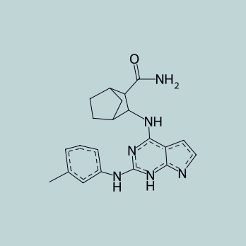 Cc1cccc(Nc2nc(NC3C4CCC(C4)C3C(N)=O)c3ccnc-3[nH]2)c1